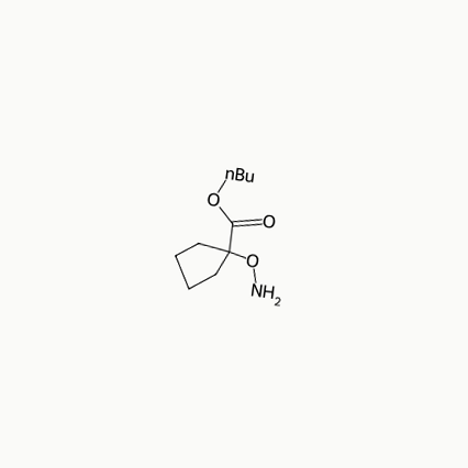 CCCCOC(=O)C1(ON)CCCC1